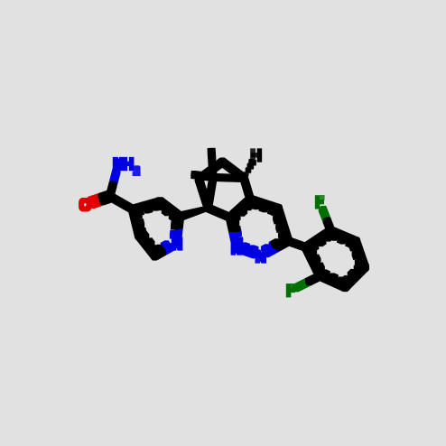 CC1(C)[C@H]2CC[C@@]1(c1cc(C(N)=O)ccn1)c1nnc(-c3c(F)cccc3F)cc12